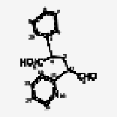 O=CN(CC(C(=O)O)c1ccccc1)c1ccccn1